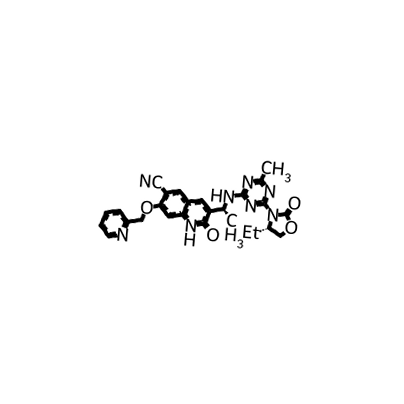 CC[C@H]1COC(=O)N1c1nc(C)nc(N[C@@H](C)c2cc3cc(C#N)c(OCc4ccccn4)cc3[nH]c2=O)n1